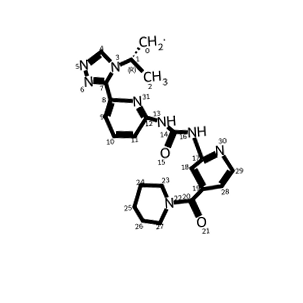 [CH2][C@H](C)n1cnnc1-c1cccc(NC(=O)Nc2cc(C(=O)N3CCCCC3)ccn2)n1